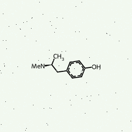 CN[C@@H](C)Cc1ccc(O)cc1